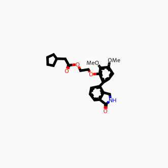 COc1ccc(-c2cccc3c2CNC3=O)c(OCCOC(=O)CC2CCCC2)c1OC